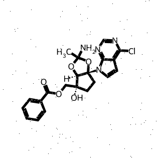 CC1(N)O[C@@H]2[C@](O)(COC(=O)c3ccccc3)CC[C@@]2(n2ccc3c(Cl)ncnc32)O1